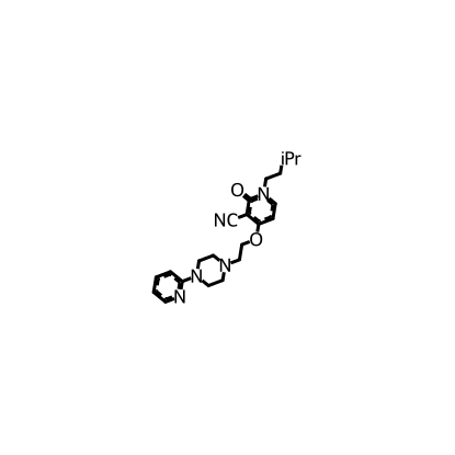 CC(C)CCn1ccc(OCCN2CCN(c3ccccn3)CC2)c(C#N)c1=O